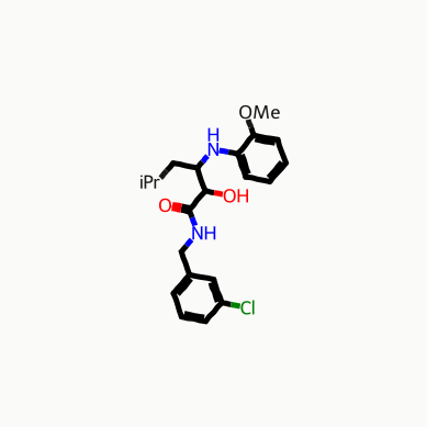 COc1ccccc1NC(CC(C)C)C(O)C(=O)NCc1cccc(Cl)c1